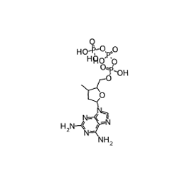 CC1CC(n2cnc3c(N)nc(N)nc32)OC1COP(=O)(O)OP(=O)(O)OP(=O)(O)O